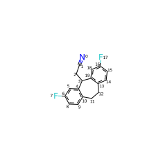 N#CCC1c2cc(F)ccc2CCc2ccc(F)cc21